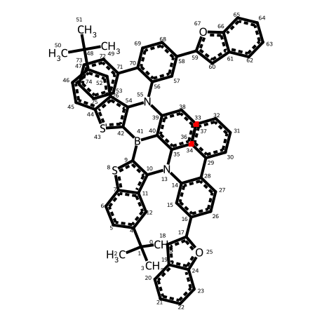 CC(C)(C)c1ccc2sc3c(c2c1)N(c1cc(-c2cc4ccccc4o2)ccc1-c1ccccc1)c1cccc2c1B3c1sc3ccc(C(C)(C)C)cc3c1N2c1cc(-c2cc3ccccc3o2)ccc1-c1ccccc1